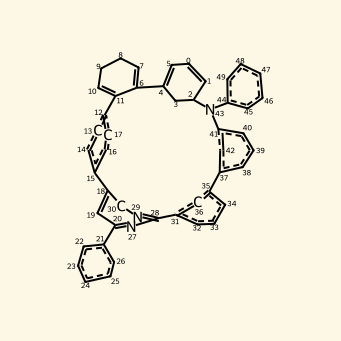 C1=CC2CC(=C1)C1=CCCC=C1c1ccc(cc1)C1=CC(c3ccccc3)=NC(=NC1)c1cccc(c1)-c1cccc(c1)N2c1ccccc1